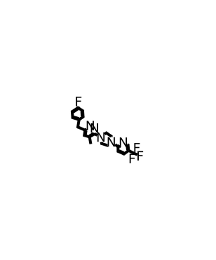 Cc1cc(Cc2ccc(F)cc2)nnc1N1CCN(c2ccc(C(F)(F)F)cn2)CC1